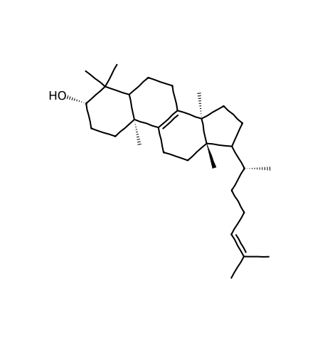 CC(C)=CCC[C@@H](C)C1CC[C@]2(C)C3=C(CC[C@@]12C)[C@@]1(C)CC[C@H](O)C(C)(C)C1CC3